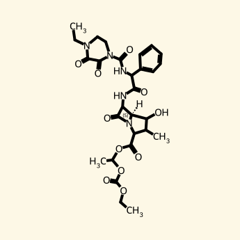 CCOC(=O)OC(C)OC(=O)C1C(C)C(O)[C@@H]2C(NC(=O)C(NC(=O)N3CCN(CC)C(=O)C3=O)c3ccccc3)C(=O)N12